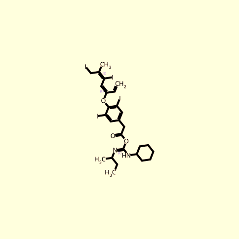 C=C/C(=C\C(I)=C(\C)CI)Oc1c(I)cc(CC(=O)O/C(=N/C(C)CC)NC2CCCCC2)cc1I